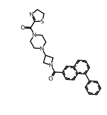 O=C(C1=NCCS1)N1CCN(C2CN(C(=O)c3ccc4c(-c5ccccc5)cccc4c3)C2)CC1